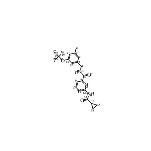 Cc1cc(CNC(=O)c2ccnc(NC(=O)C3CC3)n2)cc(OC(F)(F)F)c1